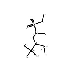 C=S(=C)(CC)N(C)C[C@@H](NC)C(C)(C)C